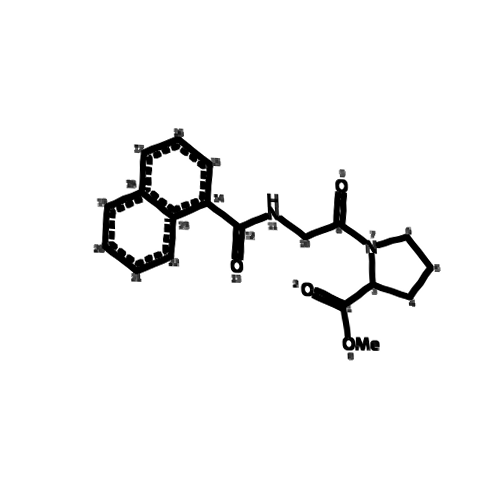 COC(=O)C1CCCN1C(=O)CNC(=O)c1cccc2ccccc12